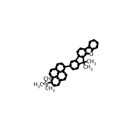 CC1(C)c2ccc(-c3ccc4ccc5c([Si](C)(C)C)ccc6ccc3c4c65)cc2-c2ccc3c(oc4ccccc43)c21